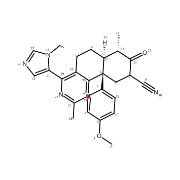 COc1ccc([C@]23CC(C#N)C(=O)[C@@H](C)[C@@H]2CCc2c(-c4cncn4C)nc(C)nc23)cc1